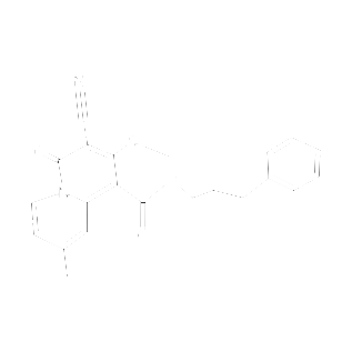 CSc1c(C#N)c(=O)n2ccc(C)cc2c1C(=O)OCCCc1ccccc1